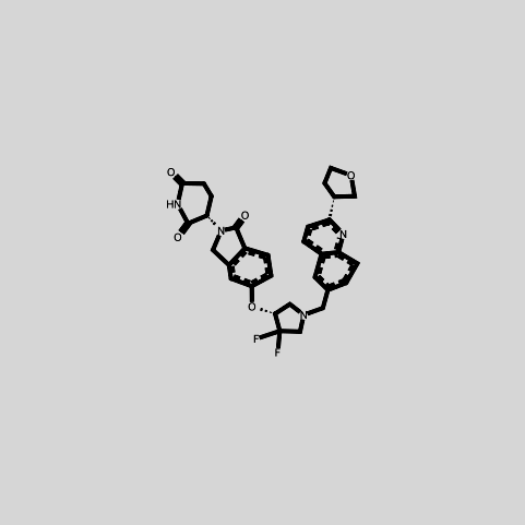 O=C1CC[C@H](N2Cc3cc(O[C@@H]4CN(Cc5ccc6nc([C@@H]7CCOC7)ccc6c5)CC4(F)F)ccc3C2=O)C(=O)N1